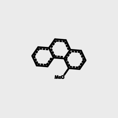 COc1cccc2ccc3ccccc3c12